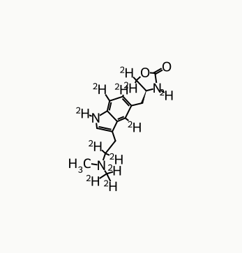 [2H]c1c(C[C@@H]2N([2H])C(=O)OC2([2H])[2H])c([2H])c2c(CC([2H])([2H])N(C)C([2H])([2H])[2H])cn([2H])c2c1[2H]